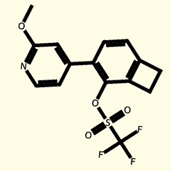 COc1cc(-c2ccc3c(c2OS(=O)(=O)C(F)(F)F)CC3)ccn1